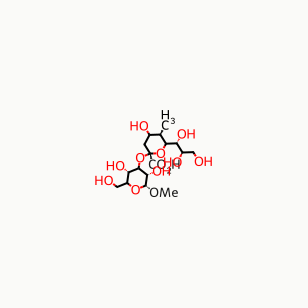 CO[C@@H]1OC(CO)[C@H](O)C(O[C@]2(C(=O)O)CC(O)[C@@H](C)C([C@H](O)[C@H](O)CO)O2)[C@@H]1O